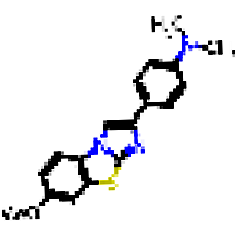 COc1ccc2c(c1)sc1nc(-c3ccc(N(C)C)cc3)cn12